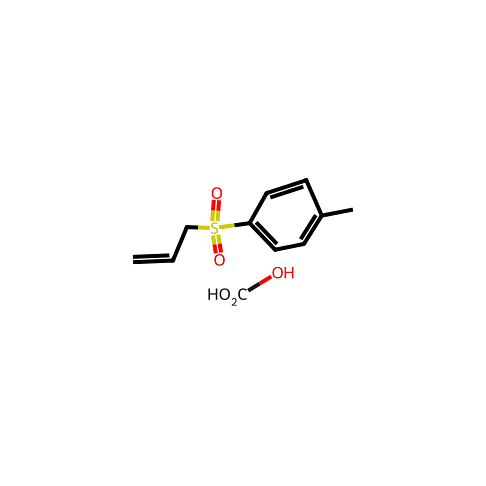 C=CCS(=O)(=O)c1ccc(C)cc1.O=C(O)O